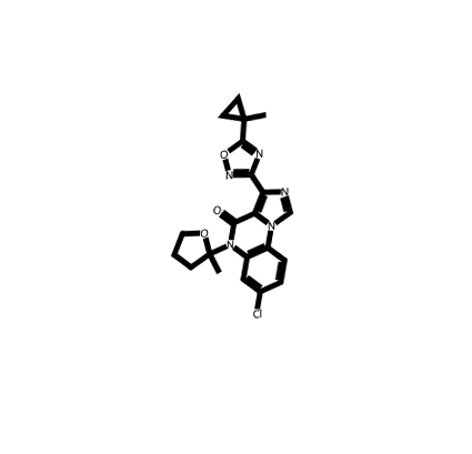 CC1(c2nc(-c3ncn4c3c(=O)n(C3(C)CCCO3)c3cc(Cl)ccc34)no2)CC1